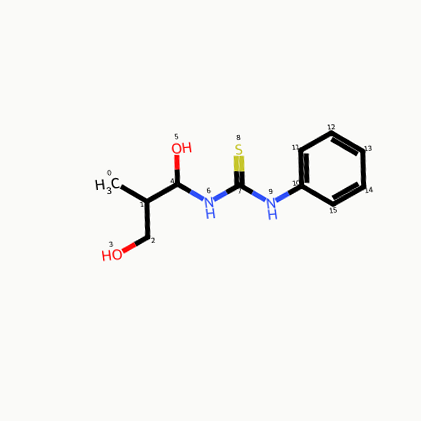 CC(CO)C(O)NC(=S)Nc1ccccc1